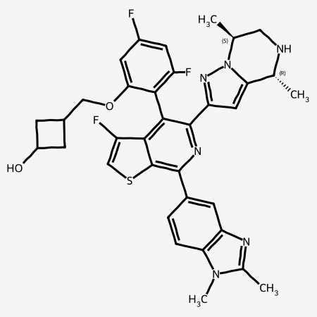 Cc1nc2cc(-c3nc(-c4cc5n(n4)[C@@H](C)CN[C@@H]5C)c(-c4c(F)cc(F)cc4OCC4CC(O)C4)c4c(F)csc34)ccc2n1C